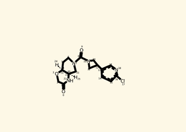 O=C1CO[C@H]2CCN(C(=O)N3CC(c4ccc(Cl)nc4)C3)C[C@H]2N1